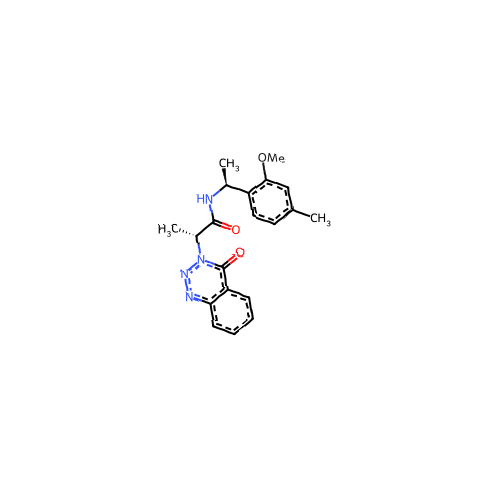 COc1cc(C)ccc1[C@H](C)NC(=O)[C@@H](C)n1nnc2ccccc2c1=O